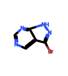 Brc1n[nH]c2ncncc12